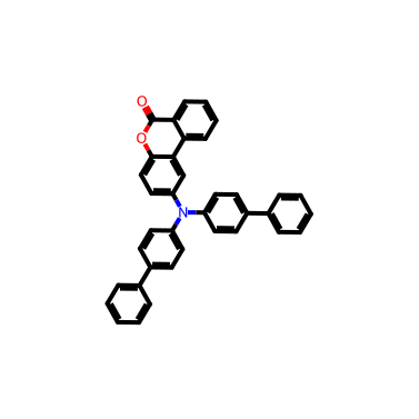 O=c1oc2ccc(N(c3ccc(-c4ccccc4)cc3)c3ccc(-c4ccccc4)cc3)cc2c2ccccc12